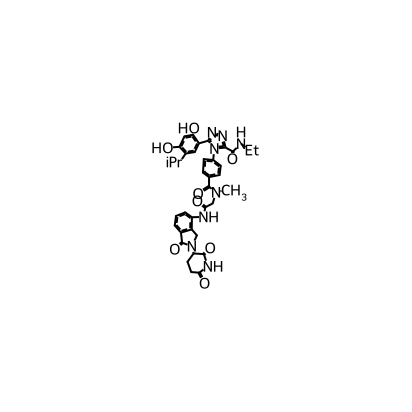 CCNC(=O)c1nnc(-c2cc(C(C)C)c(O)cc2O)n1-c1ccc(C(=O)N(C)CC(=O)Nc2cccc3c2CN(C2CCC(=O)NC2=O)C3=O)cc1